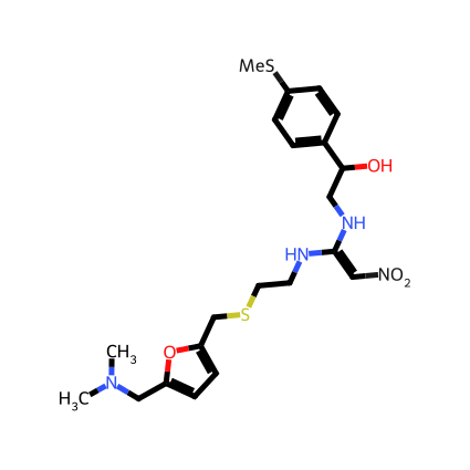 CSc1ccc(C(O)CN/C(=C\[N+](=O)[O-])NCCSCc2ccc(CN(C)C)o2)cc1